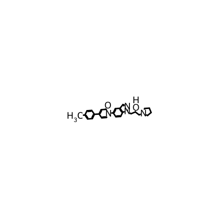 Cc1ccc(-c2ccn(-c3ccc4c(cnn4C[C@H](O)CN4CCCC4)c3)c(=O)c2)cc1